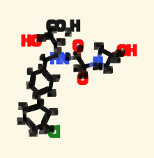 O=C(NC(Cc1ccc(-c2cccc(Cl)c2)cc1)CC(O)C(=O)O)C(=O)N1CC(O)C1